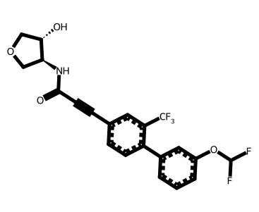 O=C(C#Cc1ccc(-c2cccc(OC(F)F)c2)c(C(F)(F)F)c1)N[C@H]1COC[C@@H]1O